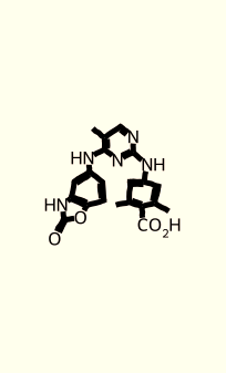 Cc1cnc(Nc2cc(C)c(C(=O)O)c(C)c2)nc1Nc1ccc2oc(=O)[nH]c2c1